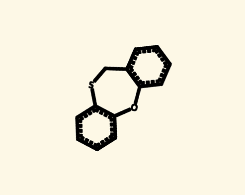 c1ccc2c(c1)CSc1ccccc1O2